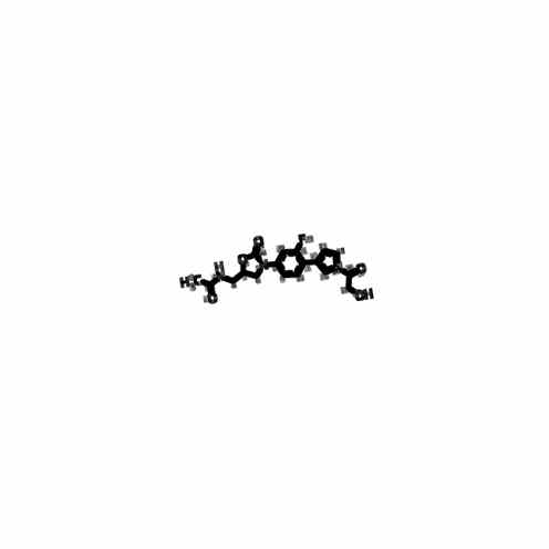 CC(=O)NCC1CN(c2ccc(-c3ccn(C(=O)CO)c3)c(F)c2)C(=O)O1